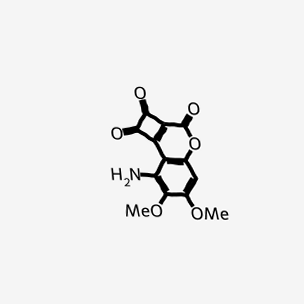 COc1cc2oc(=O)c3c(=O)c(=O)c3c2c(N)c1OC